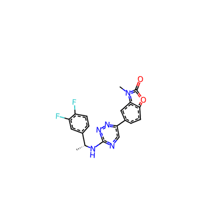 C[C@@H](Nc1ncc(-c2ccc3oc(=O)n(C)c3c2)nn1)c1ccc(F)c(F)c1